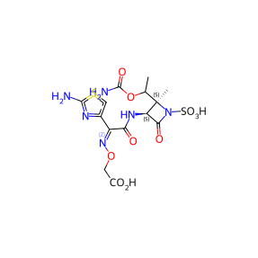 CC(OC(N)=O)[C@]1(C)[C@H](NC(=O)/C(=N\OCC(=O)O)c2csc(N)n2)C(=O)N1S(=O)(=O)O